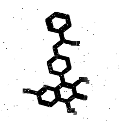 Cn1c(=O)c([N+](=O)[O-])c(N2CCN(CC(O)c3ccccc3)CC2)c2nc(C#N)ccc21